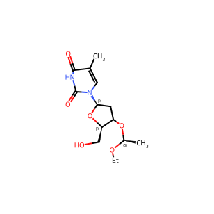 CCO[C@H](C)OC1C[C@H](n2cc(C)c(=O)[nH]c2=O)O[C@@H]1CO